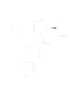 Br.Br.CNC(=O)[C@@H]1CCCN1C(=O)[C@@H](N)Cc1c[nH]cn1